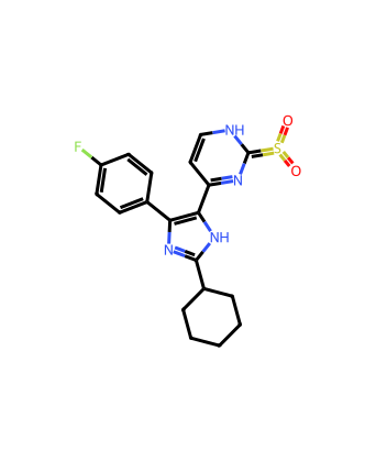 O=S(=O)=c1nc(-c2[nH]c(C3CCCCC3)nc2-c2ccc(F)cc2)cc[nH]1